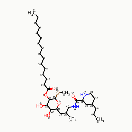 CCCCCCCCCCCCCCCC(=O)OC1C(SC)OC(CC(C)CNC(=O)C2CC(CCC)CCN2)C(O)C1O